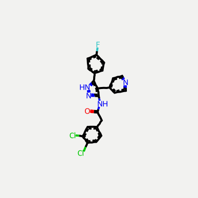 O=C(Cc1ccc(Cl)c(Cl)c1)Nc1n[nH]c(-c2ccc(F)cc2)c1-c1ccncc1